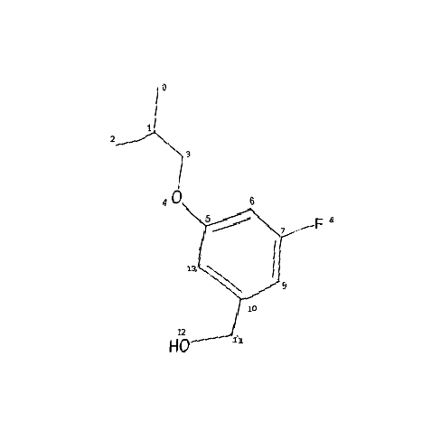 CC(C)COc1cc(F)cc([CH]O)c1